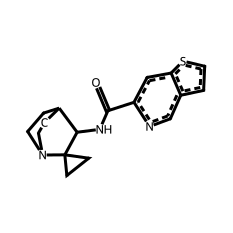 O=C(NC1C2CCN(CC2)C12CC2)c1cc2sccc2cn1